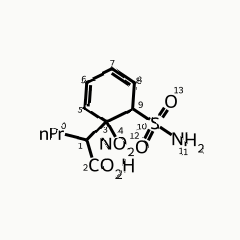 CCCC(C(=O)O)C1([N+](=O)[O-])C=CC=CC1S(N)(=O)=O